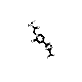 CC(C)NC(=O)Cn1ccc(-c2nnc(C(F)F)o2)cc1=O